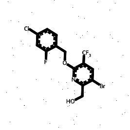 OCc1nc(OCc2ccc(Cl)cc2F)c(C(F)(F)F)cc1Br